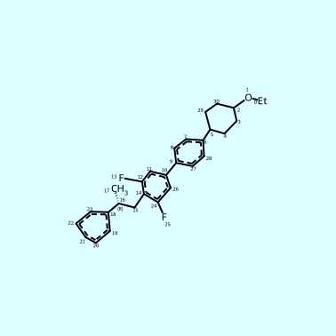 CCOC1CCC(c2ccc(-c3cc(F)c(C[C@@H](C)c4ccccc4)c(F)c3)cc2)CC1